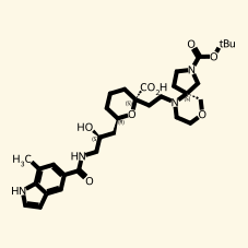 Cc1cc(C(=O)NC[C@@H](O)C[C@H]2CCC[C@](CCN3CCOC[C@@]34CCN(C(=O)OC(C)(C)C)C4)(C(=O)O)O2)cc2cc[nH]c12